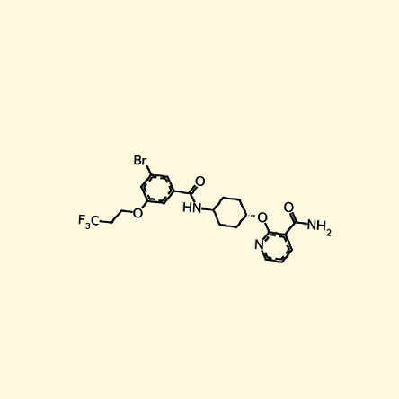 NC(=O)c1cccnc1O[C@H]1CC[C@H](NC(=O)c2cc(Br)cc(OCCC(F)(F)F)c2)CC1